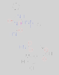 COC1C(OC(=O)N[C@H]2CC[C@H](NC(=O)CNC(=O)[C@H](Cc3ccccc3)NC(=O)CNNCC(C)=O)CC2)CC[C@]2(CO2)C1C1(C)O[C@@H]1CC=C(C)C